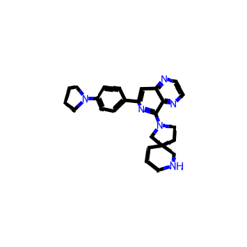 c1cnc2c(N3CCC4(CCCNC4)C3)nc(-c3ccc(N4CCCC4)cc3)cc2n1